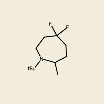 CC1CCC(F)(F)CCN1C(C)(C)C